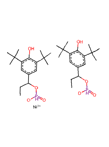 CCC(O[PH](=O)[O-])c1cc(C(C)(C)C)c(O)c(C(C)(C)C)c1.CCC(O[PH](=O)[O-])c1cc(C(C)(C)C)c(O)c(C(C)(C)C)c1.[Ni+2]